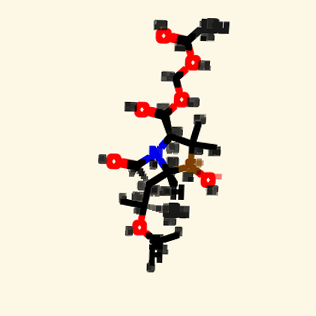 C[SiH](C)O[C@@](C)([C@@H]1C(=O)N2[C@@H]1[S+]([O-])C(C)(C)[C@@H]2C(=O)OCOC(=O)C(C)(C)C)C(C)(C)C